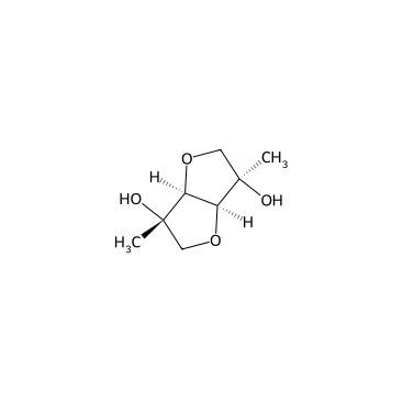 C[C@]1(O)CO[C@H]2[C@@H]1OC[C@@]2(C)O